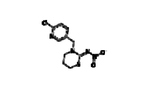 O=[N+]([O-])/N=C1\SCCCN1Cc1ccc(Cl)nc1